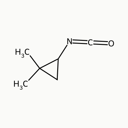 CC1(C)CC1N=C=O